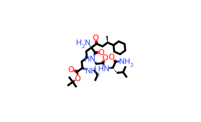 CCC[C@H](NC(=O)[C@@](N)(CCCC(N)C(=O)OC(C)(C)C)C(=O)C[C@@H](C)C1CCCCC1)C(=O)N[C@@H](CC(C)C)C(N)=O